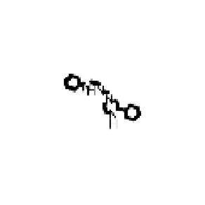 C1=CC/C(=N\C=C/NCN2CCNC(C3CCCCC3)C2)C=C1